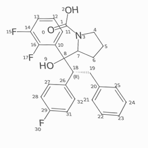 O=C(O)N1CCCC1C(O)(c1cccc(F)c1F)[C@H](Cc1ccccc1)c1ccc(F)cc1